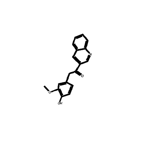 COc1cc(CC(=O)c2cnc3ccccc3c2)ccc1O